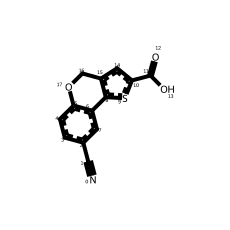 N#Cc1ccc2c(c1)-c1sc(C(=O)O)cc1CO2